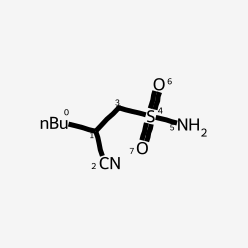 CCCCC(C#N)CS(N)(=O)=O